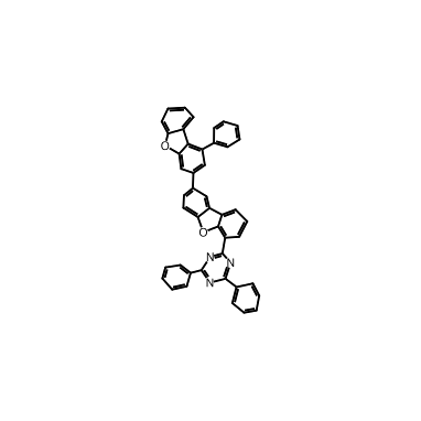 c1ccc(-c2nc(-c3ccccc3)nc(-c3cccc4c3oc3ccc(-c5cc(-c6ccccc6)c6c(c5)oc5ccccc56)cc34)n2)cc1